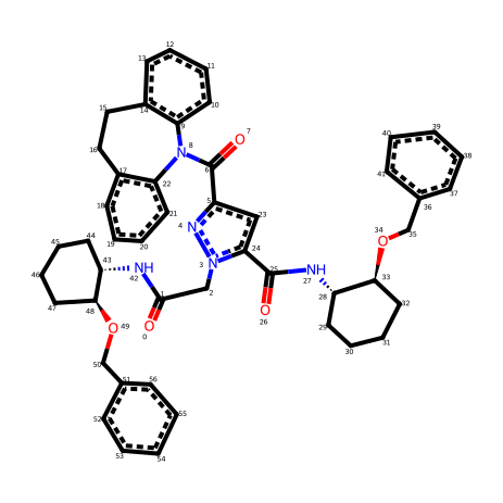 O=C(Cn1nc(C(=O)N2c3ccccc3CCc3ccccc32)cc1C(=O)N[C@H]1CCCC[C@@H]1OCc1ccccc1)N[C@H]1CCCC[C@@H]1OCc1ccccc1